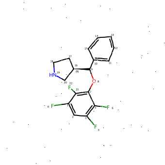 Fc1cc(F)c(F)c(OC(c2ccccc2)[C@@H]2CCNC2)c1F